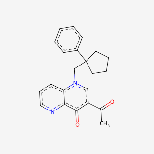 CC(=O)c1cn(CC2(c3ccccc3)CCCC2)c2cccnc2c1=O